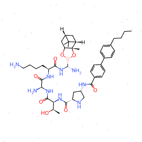 CCCCc1ccc(-c2ccc(C(=O)N[C@@H]3CN[C@H](C(=O)N[C@H](C(=O)N[C@@H](N)C(=O)N[C@@H](CCCCN)C(=O)N[C@@H](N)B4OC5C[C@@H]6C[C@@H](C6(C)C)[C@]5(C)O4)[C@@H](C)O)C3)cc2)cc1